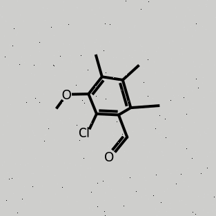 COc1c(C)c(C)c(C)c(C=O)c1Cl